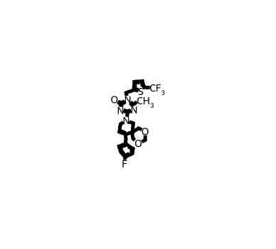 Cc1nc(N2CC=C(c3ccc(F)cc3)C3(COCOC3)C2)nc(=O)n1Cc1ccc(C(F)(F)F)s1